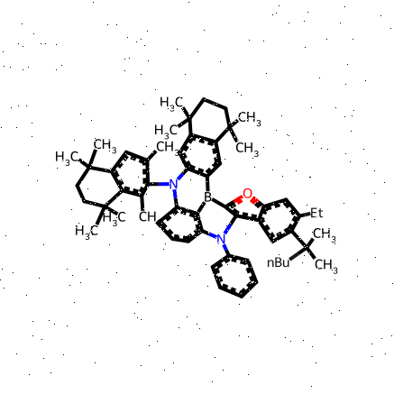 CCCCC(C)(C)c1cc2c3c(oc2cc1CC)B1c2cc4c(cc2N(c2c(C)cc5c(c2C)C(C)(C)CCC5(C)C)c2cccc(c21)N3c1ccccc1)C(C)(C)CCC4(C)C